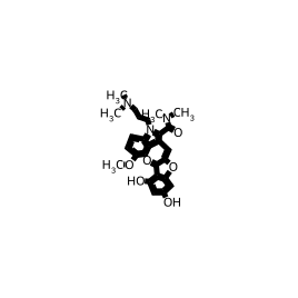 COc1ccc2c(c1)c(C=C1Oc3cc(O)cc(O)c3C1=O)c(C(=O)N(C)C)n2CCCN(C)C